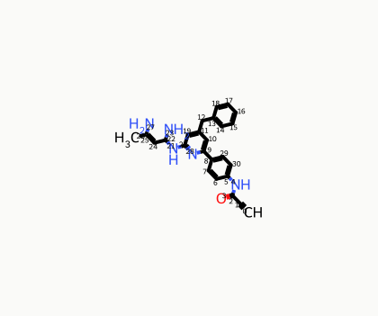 C#CC(=O)Nc1ccc(-c2cc(Cc3ccccc3)cc(NC(N)/C=C(/C)N)n2)cc1